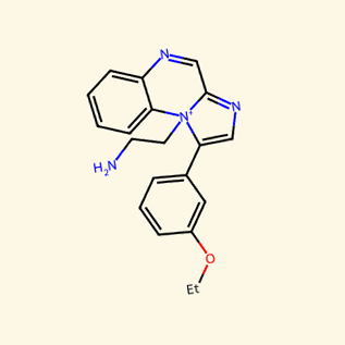 CCOc1cccc(C2=CN=C3C=Nc4ccccc4[N+]23CCN)c1